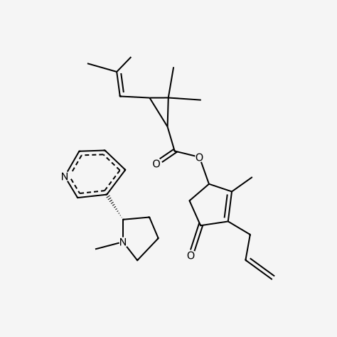 C=CCC1=C(C)C(OC(=O)C2C(C=C(C)C)C2(C)C)CC1=O.CN1CCC[C@H]1c1cccnc1